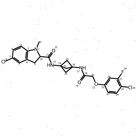 CN1c2ccc(Cl)cc2CC1C(=O)NC12CC(NC(=O)COc3ccc(Cl)c(F)c3)(C1)C2